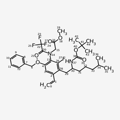 C=Cc1cc(OCc2ccccc2)c(N(CC(=O)OC)C(=O)C(F)(F)F)c(F)c1CC(CCCC(C)C)NC(=O)OC(C)(C)C